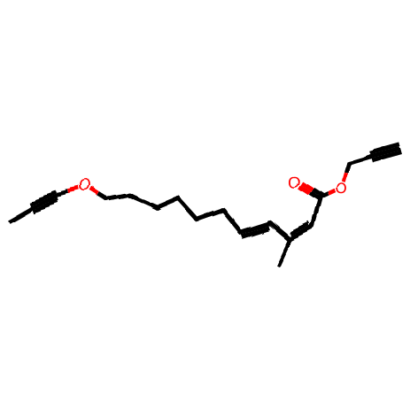 C#CCOC(=O)C=C(C)C=CCCCCCCOC#CC